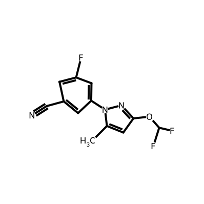 Cc1cc(OC(F)F)nn1-c1cc(F)cc(C#N)c1